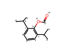 CC(C)c1cccc(C(C)C)c1O[C]=O